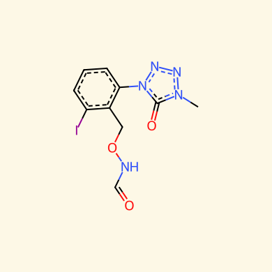 Cn1nnn(-c2cccc(I)c2CONC=O)c1=O